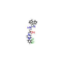 N#CC(CCNCCC(O)CN1CCN(c2cccc(Cl)c2Cl)CC1)(c1ccccc1)c1ccccc1